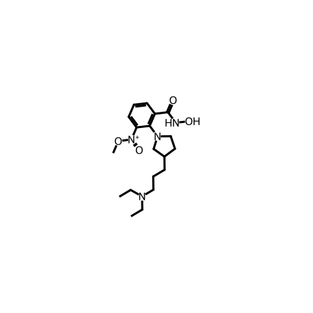 CCN(CC)CCCC1CCN(c2c(C(=O)NO)cccc2[N+](=O)OC)C1